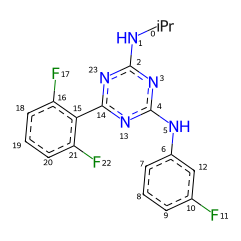 CC(C)Nc1nc(Nc2cccc(F)c2)nc(-c2c(F)cccc2F)n1